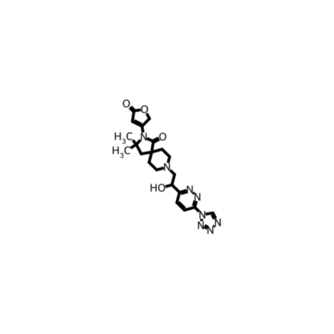 CC1(C)CC2(CCN(CC(O)c3ccc(-n4cnnn4)nn3)CC2)C(=O)N1C1=CC(=O)OC1